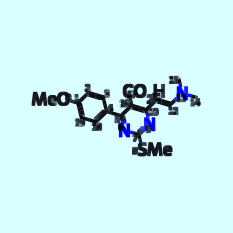 COc1ccc(-c2nc(SC)nc(/C=C/N(C)C)c2C(=O)O)cc1